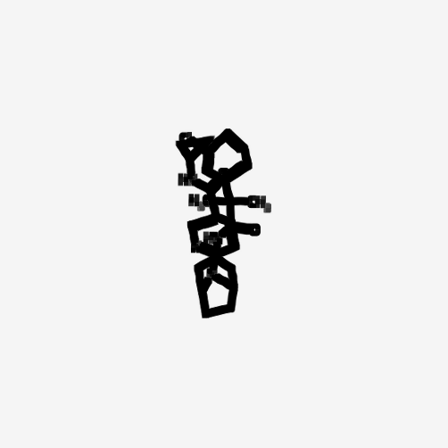 CC(C)(C(=O)NC1CC2CCC(C1)N2c1ccc(C(=O)NC2CC2)cn1)c1cccc(Cl)c1